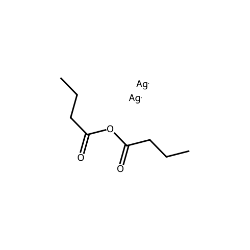 CCCC(=O)OC(=O)CCC.[Ag].[Ag]